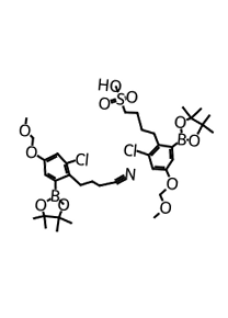 COCOc1cc(Cl)c(CCCC#N)c(B2OC(C)(C)C(C)(C)O2)c1.COCOc1cc(Cl)c(CCCCS(=O)(=O)O)c(B2OC(C)(C)C(C)(C)O2)c1